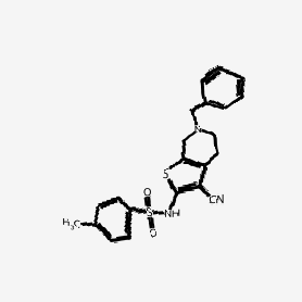 Cc1ccc(S(=O)(=O)Nc2sc3c(c2C#N)CCN(Cc2ccccc2)C3)cc1